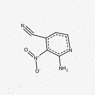 N#Cc1ccnc(N)c1[N+](=O)[O-]